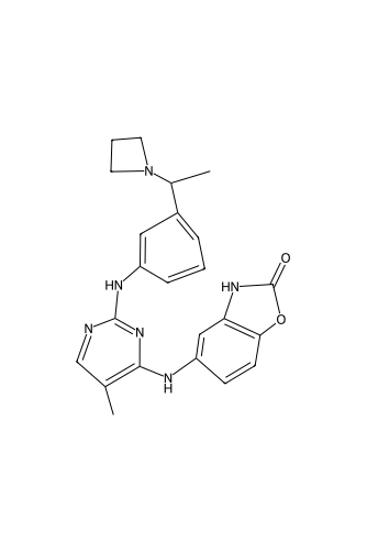 Cc1cnc(Nc2cccc(C(C)N3CCC3)c2)nc1Nc1ccc2oc(=O)[nH]c2c1